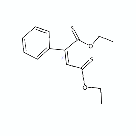 CCOC(=S)/C=C(\C(=S)OCC)c1ccccc1